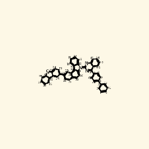 c1ccc(-c2ccc(-c3nc(-n4c5ccccc5c5c6cc(-c7ccc8sc9ccccc9c8c7)ccc6ccc54)nc4ccccc34)cc2)cc1